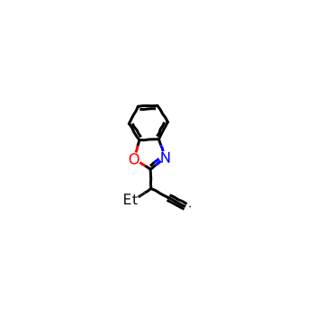 [C]#CC(CC)c1nc2ccccc2o1